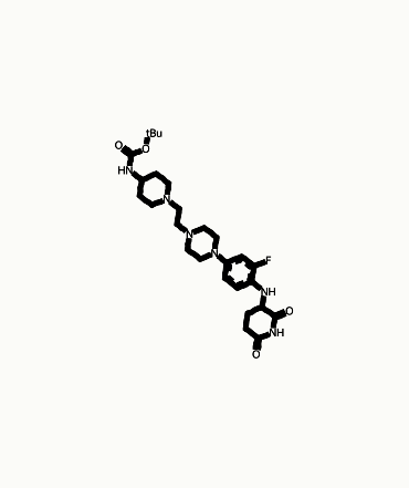 CC(C)(C)OC(=O)NC1CCN(CCN2CCN(c3ccc(NC4CCC(=O)NC4=O)c(F)c3)CC2)CC1